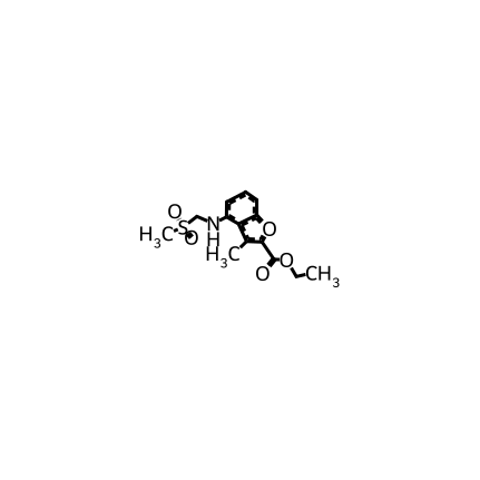 CCOC(=O)c1oc2cccc(NCS(C)(=O)=O)c2c1C